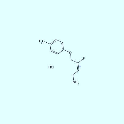 Cl.NC/C=C(/F)COc1ccc(C(F)(F)F)cc1